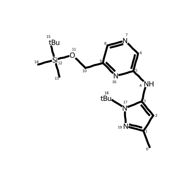 Cc1cc(Nc2cncc(CO[Si](C)(C)C(C)(C)C)n2)n(C(C)(C)C)n1